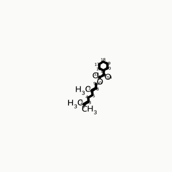 CC(C)=CCC/C(C)=C/COC(=O)C(=O)C1CCCCC1